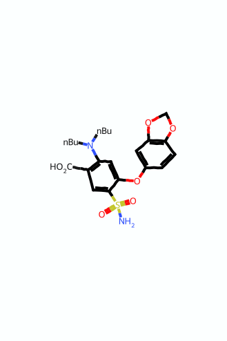 CCCCN(CCCC)c1cc(Oc2ccc3c(c2)OCO3)c(S(N)(=O)=O)cc1C(=O)O